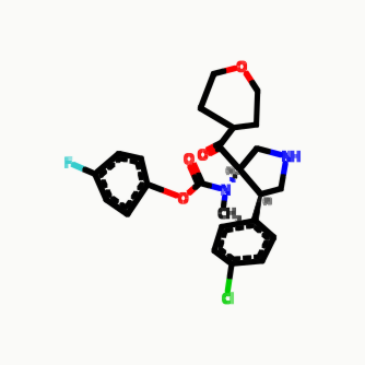 CN(C(=O)Oc1ccc(F)cc1)[C@]1(C(=O)C2CCOCC2)CNC[C@H]1c1ccc(Cl)cc1